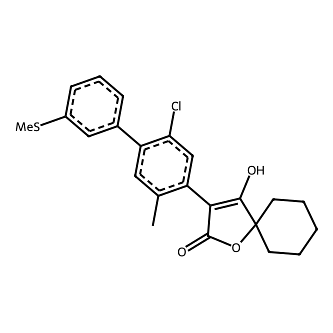 CSc1cccc(-c2cc(C)c(C3=C(O)C4(CCCCC4)OC3=O)cc2Cl)c1